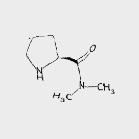 CN(C)C(=O)[C@@H]1C[CH]CN1